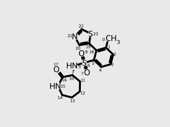 Cc1cccc(S(=O)(=O)N[C@@H]2CCCCNC2=O)c1-c1cncs1